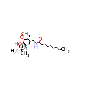 CCCCCCCCC(=O)NCc1cc(CC(C)(C)C)c(O)c(OC)c1